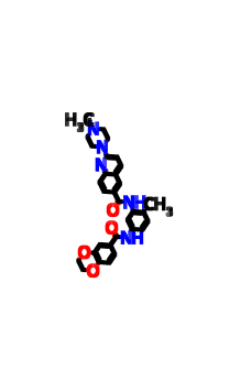 Cc1ccc(NC(=O)c2ccc3c(c2)OCCO3)cc1NC(=O)c1ccc2nc(N3CCN(C)CC3)ccc2c1